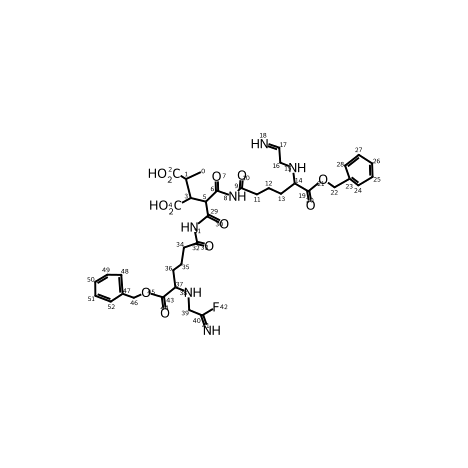 CC(C(=O)O)C(C(=O)O)C(C(=O)NC(=O)CCCC(NCC=N)C(=O)OCc1ccccc1)C(=O)NC(=O)CCCC(NCC(=N)F)C(=O)OCc1ccccc1